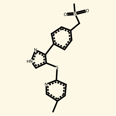 Cc1ccc(Sc2c[nH]nc2-c2ccc(CS(C)(=O)=O)cc2)nc1